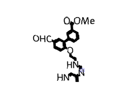 C=C(C=N)/N=C\NCCOc1ccc(C=O)cc1-c1cccc(C(=O)OC)c1